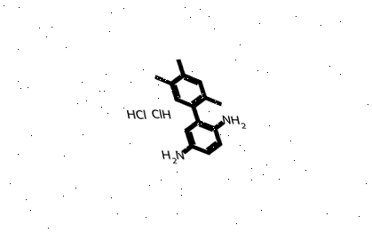 Cc1cc(C)c(-c2cc(N)ccc2N)cc1C.Cl.Cl